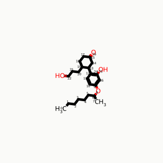 CCCCCCC(C)Oc1ccc(C2CC(=O)CCC2CCCO)c(O)c1